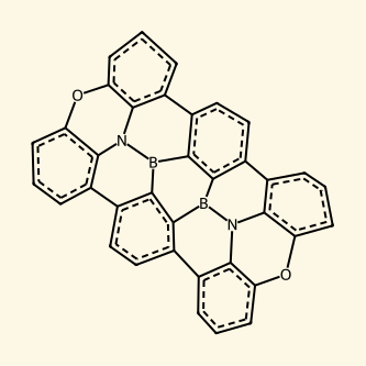 c1cc2c3c(c1)-c1ccc4c5c1B1c6c(ccc7c6B5N5c6c(cccc6-4)Oc4cccc-7c45)-c4cccc(c4N13)O2